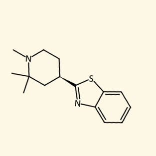 CN1CC[C@@H](c2nc3ccccc3s2)CC1(C)C